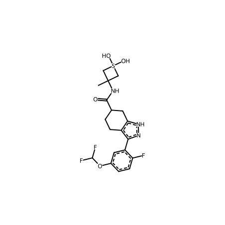 CC1(NC(=O)C2CCc3c(-c4cc(OC(F)F)ccc4F)n[nH]c3C2)CS(O)(O)C1